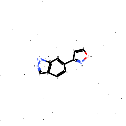 c1cc(-c2ccc3cn[nH]c3c2)no1